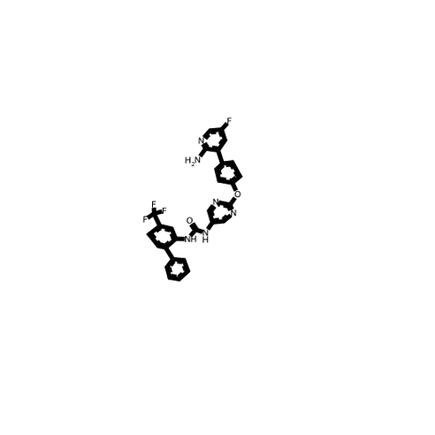 Nc1ncc(F)cc1-c1ccc(Oc2ncc(NC(=O)Nc3cc(C(F)(F)F)ccc3-c3ccccc3)cn2)cc1